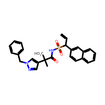 C=CC(c1ccc2ccccc2c1)S(=O)(=O)NC(=O)C(C)(C(=O)O)c1cnn(Cc2ccccc2)c1